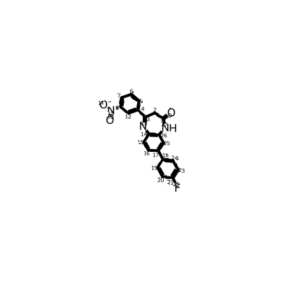 O=C1CC(c2cccc([N+](=O)[O-])c2)=Nc2ccc(-c3ccc(F)cc3)cc2N1